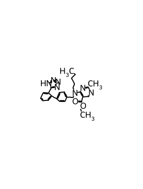 CCCCCN(Cc1ccc(-c2ccccc2-c2nnn[nH]2)cc1)c1nc(C)ncc1C(=O)OCC